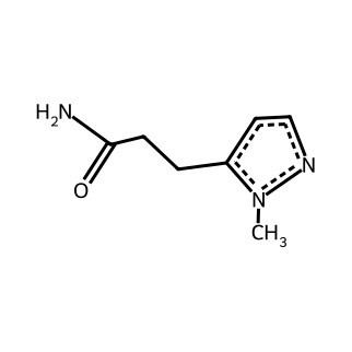 Cn1nccc1CCC(N)=O